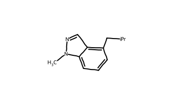 CC(C)Cc1cccc2c1cnn2C